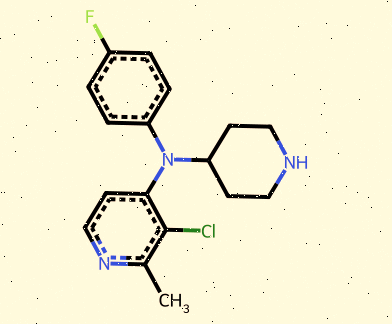 Cc1nccc(N(c2ccc(F)cc2)C2CCNCC2)c1Cl